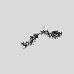 CC1(C)[C@H](Oc2ccc(C#N)c(Cl)c2)C(C)(C)[C@H]1N1Cc2nc(C#CC3CC(NC4CCN(c5ccc6c(c5)C(O)N(C5CCC(=O)NC5=O)C6O)CC4)C3)ccc2C1=O